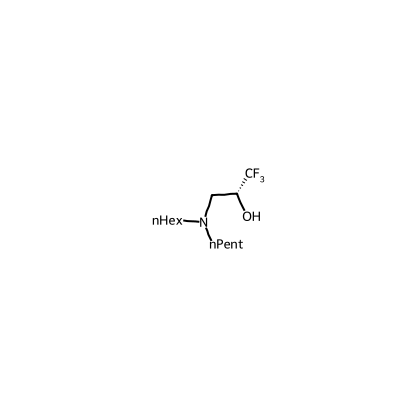 CCCCCCN(CCCCC)C[C@@H](O)C(F)(F)F